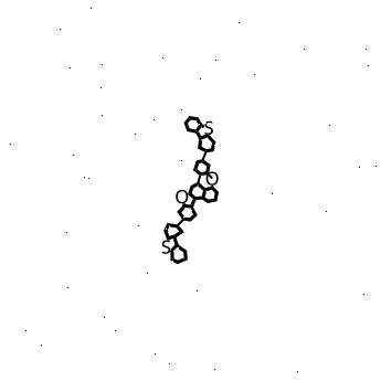 c1ccc2c(c1)sc1ccc(-c3ccc4c(c3)Oc3cccc5c3c-4cc3oc4cc(-c6ccc7sc8ccccc8c7c6)ccc4c35)cc12